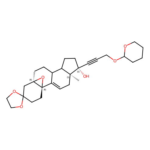 C[C@]12CC=C3C(CC[C@@]45CC6(CC[C@@]34O5)OCCO6)C1CC[C@@]2(O)C#CCOC1CCCCO1